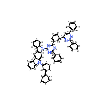 c1ccc(-c2cccc(-n3c4ccccc4c4cc5c6ccccc6n(-c6nc(-c7ccccc7)nc(-c7cccc(-c8cc(-c9ccccc9)nc(-c9ccccc9)n8)c7)n6)c5cc43)c2)cc1